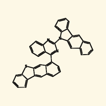 c1ccc2cc3c(cc2c1)c1ccccc1n3-c1nc(-c2cccc3cc4c(cc23)sc2ccccc24)c2ccccc2n1